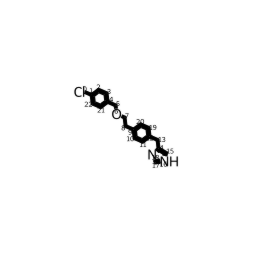 Clc1ccc(COCCc2ccc(Cc3c[nH]cn3)cc2)cc1